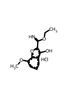 CCOC(=N)c1oc2c(OC)cccc2c1O.Cl